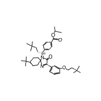 CC(C)OC(=O)c1ccc([C@@H](CCC(C)(C)C)N2C(=O)C(c3cccc(OCCC(C)(C)C)c3)=NC23CCC(C(C)(C)C)CC3)cc1